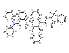 CC1(C)c2ccccc2-c2ccc(-c3c4ccccc4c(-c4ccc(N(c5ccccc5)c5ccccc5)c5ccccc45)c4cc5ccccc5cc34)cc21